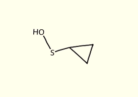 OSC1CC1